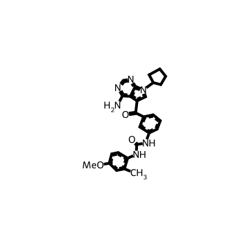 COc1ccc(NC(=O)Nc2cccc(C(=O)c3cn(C4CCCC4)c4ncnc(N)c34)c2)c(C)c1